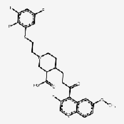 COc1ccc2ncc(F)c(C(=O)CCC3CCN(CCSc4cc(F)cc(F)c4F)CC3C(=O)O)c2c1